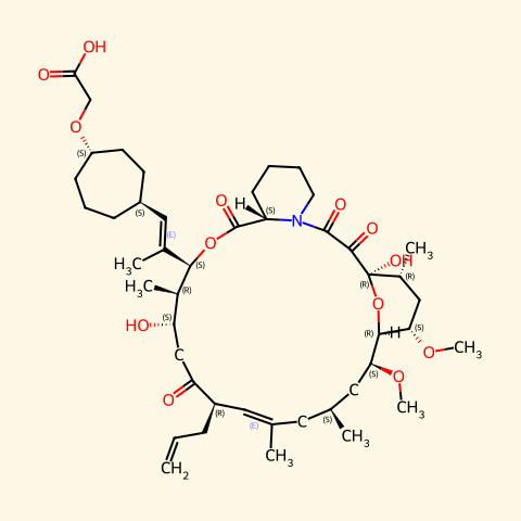 C=CC[C@@H]1/C=C(\C)C[C@H](C)C[C@H](OC)[C@H]2O[C@@](O)(C(=O)C(=O)N3CCCC[C@H]3C(=O)O[C@H](/C(C)=C/[C@H]3CCC[C@H](OCC(=O)O)CC3)[C@H](C)[C@@H](O)CC1=O)[C@H](C)C[C@@H]2OC